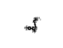 NS(=O)(=O)c1ccc(C#Cc2cnc3c(C(F)(F)F)cc(-c4ccc(C(F)(F)F)cc4)nn23)s1